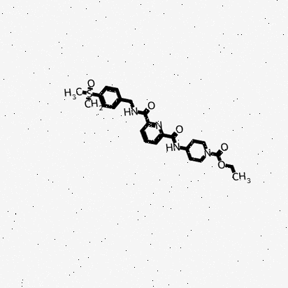 C=S(C)(=O)c1ccc(CNC(=O)c2cccc(C(=O)NC3CCN(C(=O)OCC)CC3)n2)cc1